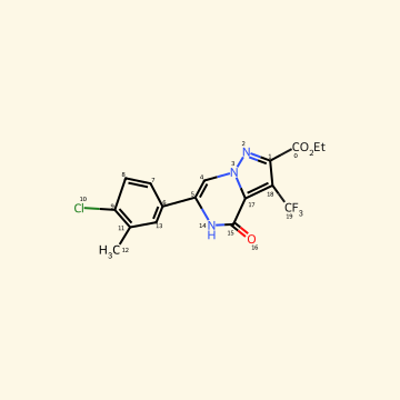 CCOC(=O)c1nn2cc(-c3ccc(Cl)c(C)c3)[nH]c(=O)c2c1C(F)(F)F